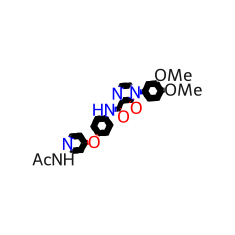 COc1ccc(-n2ccnc(C(=O)Nc3ccc(Oc4ccnc(NC(C)=O)c4)cc3)c2=O)cc1OC